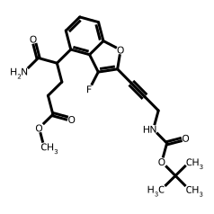 COC(=O)CCC(C(N)=O)c1cccc2oc(C#CCNC(=O)OC(C)(C)C)c(F)c12